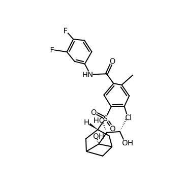 Cc1cc(Cl)c(S(=O)(=O)[C@H]2CC3CC(C2)[C@]3(O)[C@H](O)[C@H](C)O)cc1C(=O)Nc1ccc(F)c(F)c1